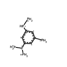 PPc1cc(P)cc(P(P)P)c1